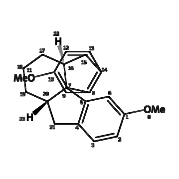 COc1ccc2c(c1)C13c4cc(OC)ccc4C[C@@H]1CCC[C@H]3C2